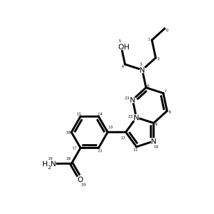 CCCN(CO)c1ccc2ncc(-c3cccc(C(N)=O)c3)n2n1